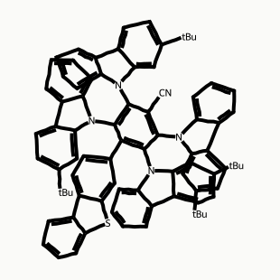 CC(C)(C)c1ccc2c3ccccc3n(-c3c(C#N)c(-n4c5ccccc5c5ccc(C(C)(C)C)cc54)c(-n4c5ccccc5c5ccc(C(C)(C)C)cc54)c(-c4ccc5c(c4)sc4ccccc45)c3-n3c4ccccc4c4ccc(C(C)(C)C)cc43)c2c1